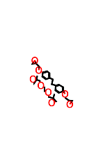 CC1(COCCOCC2(C)CO2)CO1.c1cc(OCC2CO2)ccc1CCc1ccc(OCC2CO2)cc1